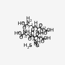 NC(CCC(=O)NC(CS)C(=O)NCC(=O)O)C(=O)O.NC(CCC(=O)NC(CSN=O)C(=O)NCC(=O)O)C(=O)O.S